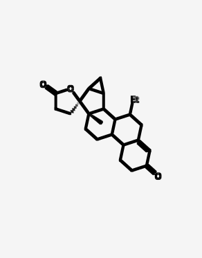 CCC1CC2=CC(=O)CCC2C2CC[C@@]3(C)C(C4CC4[C@@]34CCC(=O)O4)C12